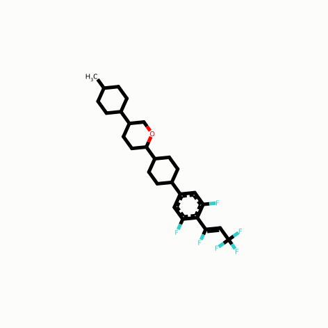 CC1CCC(C2CCC(C3CCC(c4cc(F)c(/C(F)=C/C(F)(F)F)c(F)c4)CC3)OC2)CC1